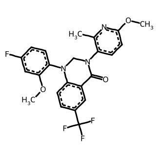 COc1ccc(N2CN(c3ccc(F)cc3OC)c3ccc(C(F)(F)F)cc3C2=O)c(C)n1